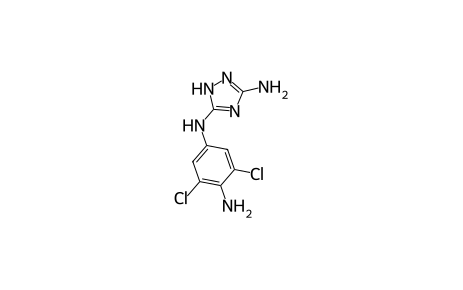 Nc1n[nH]c(Nc2cc(Cl)c(N)c(Cl)c2)n1